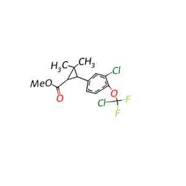 COC(=O)C1C(c2ccc(OC(F)(F)Cl)c(Cl)c2)C1(C)C